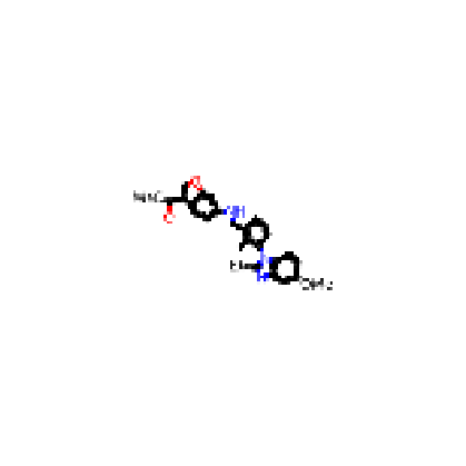 CCc1nc2cc(OC)ccc2n1-c1cccc(CNc2ccc3c(c2)OCC3C(=O)OC)c1C